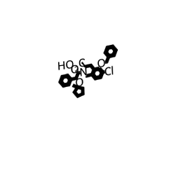 CC1(O[C@H](C(=O)N2Cc3ccc(Cl)c(OCc4ccccc4)c3C[C@@H]2C(=O)O)c2ccccc2)CCCC1